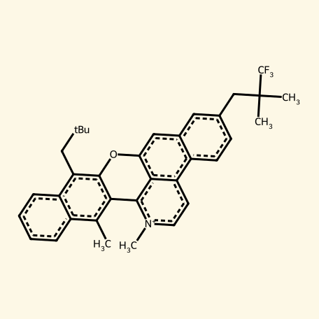 Cc1c2c(c(CC(C)(C)C)c3ccccc13)Oc1cc3cc(CC(C)(C)C(F)(F)F)ccc3c3cc[n+](C)c-2c13